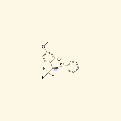 COc1ccc(/C(=C\[S+]([O-])c2ccccc2)C(F)(F)F)cc1